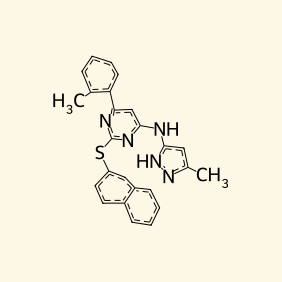 Cc1cc(Nc2cc(-c3ccccc3C)nc(Sc3ccc4ccccc4c3)n2)[nH]n1